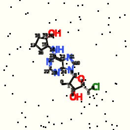 C[C@@H]1[C@H](O)[C@@H](CCl)O[C@H]1n1cnc2c(NC3CCCC3O)ncnc21